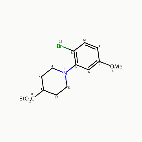 CCOC(=O)C1CCN(c2cc(OC)ccc2Br)CC1